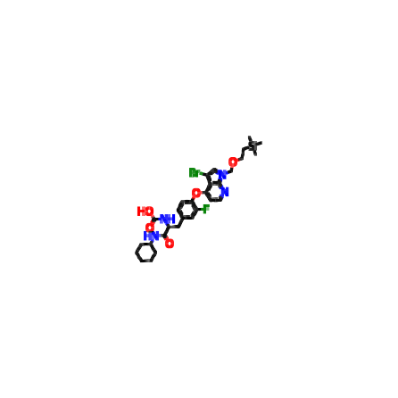 C[Si](C)(C)CCOCn1cc(Br)c2c(Oc3ccc(C[C@H](NC(=O)O)C(=O)NC4CCCCC4)cc3F)ccnc21